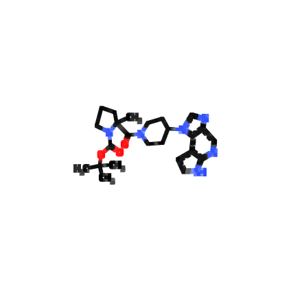 CC(C)(C)OC(=O)N1CCCC1(C)C(=O)N1CCC(n2cnc3cnc4[nH]ccc4c32)CC1